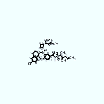 C=CCC(O)C(C)S(=O)(=O)NC(=O)c1ccc2c(c1)N(C[C@@H]1CC[C@H]1C(/C=C/CCC)OC)C[C@@]1(CCCc3cc(Cl)ccc31)CO2